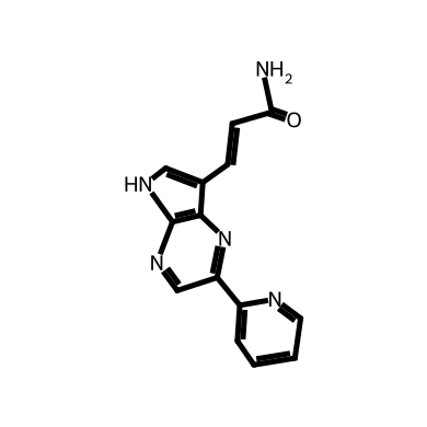 NC(=O)C=Cc1c[nH]c2ncc(-c3ccccn3)nc12